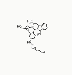 C[C@@H]1Cc2c([nH]c3ccccc23)[C@@H](c2c(F)cc(NC3CN(CCCF)C3)cc2F)N1C12CC(CO)(C1)C2